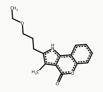 CCOCCCc1[nH]c2c(c1C)c(=O)oc1ccccc12